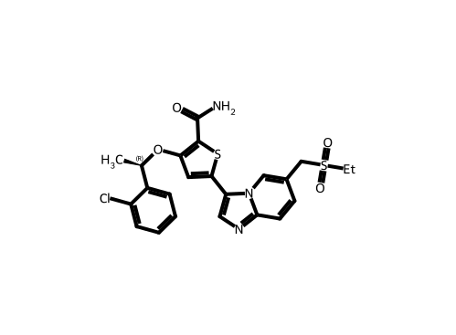 CCS(=O)(=O)Cc1ccc2ncc(-c3cc(O[C@H](C)c4ccccc4Cl)c(C(N)=O)s3)n2c1